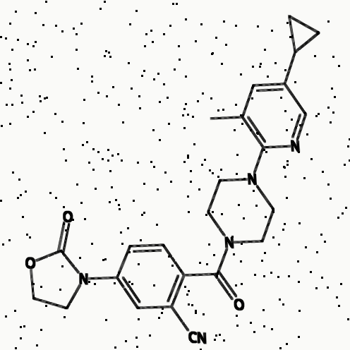 Cc1cc(C2CC2)cnc1N1CCN(C(=O)c2ccc(N3CCOC3=O)cc2C#N)CC1